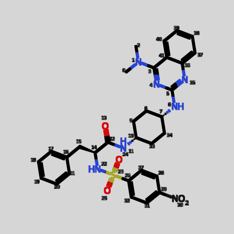 CN(C)c1nc(N[C@H]2CC[C@@H](NC(=O)[C@H](Cc3ccccc3)NS(=O)(=O)c3ccc([N+](=O)[O-])cc3)CC2)nc2ccccc12